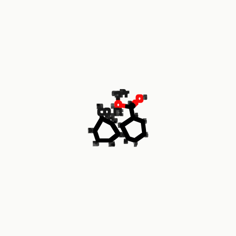 CCCOC(=O)C1CCCCC1.CCOC(=O)C1CCCCC1